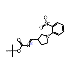 CC(C)(C)OC(=O)/N=C/C1CCN(c2ccccc2[N+](=O)[O-])C1